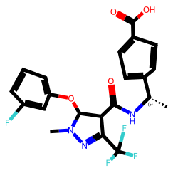 C[C@H](NC(=O)C1C(C(F)(F)F)=NN(C)C1Oc1cccc(F)c1)c1ccc(C(=O)O)cc1